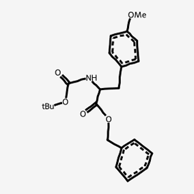 COc1ccc(CC(NC(=O)OC(C)(C)C)C(=O)OCc2ccccc2)cc1